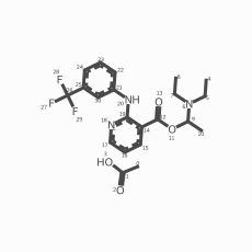 CC(=O)O.CCN(CC)C(C)OC(=O)c1cccnc1Nc1cccc(C(F)(F)F)c1